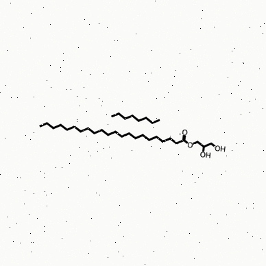 CCCCCCCC.CCCCCCCCCCCCCCCCCCCCCC(=O)OCC(O)CO